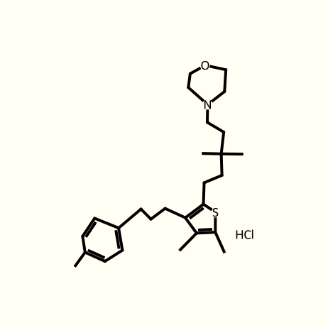 Cc1ccc(CCCc2c(CCC(C)(C)CCN3CCOCC3)sc(C)c2C)cc1.Cl